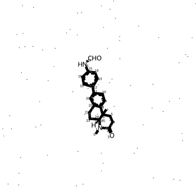 CN1C(=O)CCC2(C)c3ccc(-c4ccc(NC=O)cc4)cc3CC[C@@H]12